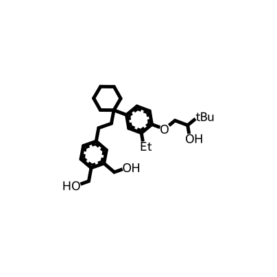 CCc1cc(C2(CCc3ccc(CO)c(CO)c3)CCCCC2)ccc1OCC(O)C(C)(C)C